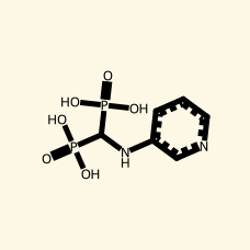 O=P(O)(O)C(Nc1cccnc1)P(=O)(O)O